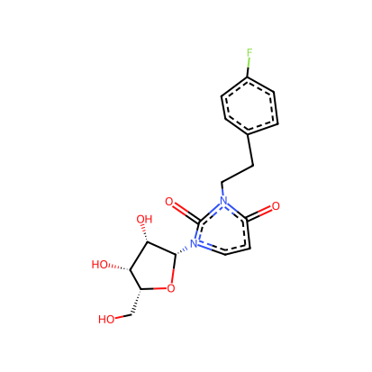 O=c1ccn([C@@H]2O[C@H](CO)[C@H](O)[C@@H]2O)c(=O)n1CCc1ccc(F)cc1